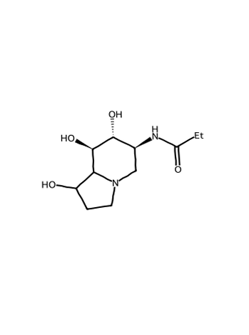 CCC(=O)N[C@H]1CN2CCC(O)C2[C@@H](O)[C@@H]1O